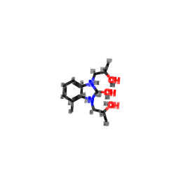 Cc1cccc2c1N(CC(C)O)C(O)N2CC(C)O